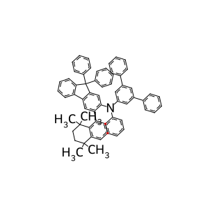 CC1(C)CCC(C)(C)c2c(-c3cc4c(cc3N(c3ccccc3)c3cc(-c5ccccc5)cc(-c5ccccc5)c3)C(c3ccccc3)(c3ccccc3)c3ccccc3-4)cccc21